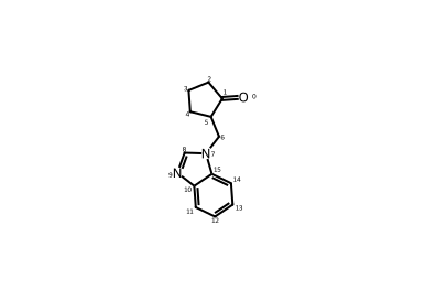 O=C1CCCC1Cn1cnc2ccccc21